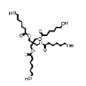 O=C(CCCCCO)OCC(COC(=O)CCCCCO)(COC(=O)CCCCCO)COC(=O)CCCCCO